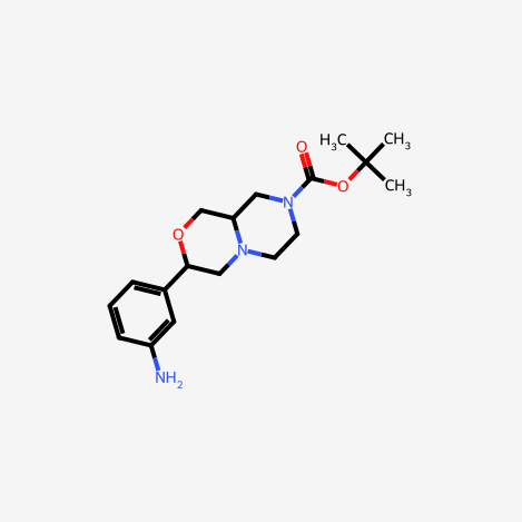 CC(C)(C)OC(=O)N1CCN2CC(c3cccc(N)c3)OCC2C1